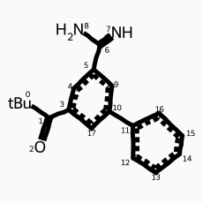 CC(C)(C)C(=O)c1cc(C(=N)N)cc(-c2ccccc2)c1